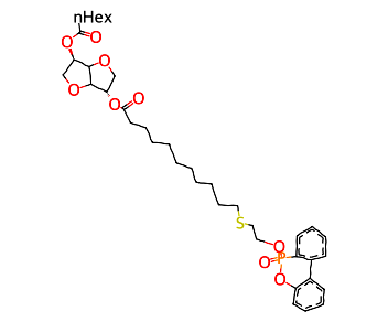 CCCCCCC(=O)O[C@@H]1COC2C1OC[C@@H]2OC(=O)CCCCCCCCCCSCCOP1(=O)Oc2ccccc2-c2ccccc21